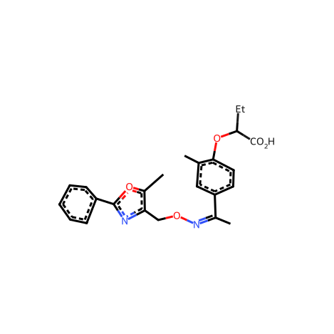 CCC(Oc1ccc(/C(C)=N\OCc2nc(-c3ccccc3)oc2C)cc1C)C(=O)O